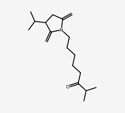 C=C1CC(C(C)C)C(=C)N1CCCCCC(=O)C(C)C